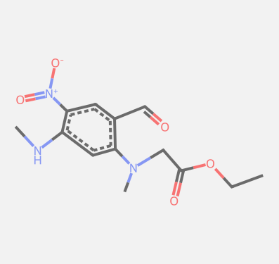 CCOC(=O)CN(C)c1cc(NC)c([N+](=O)[O-])cc1C=O